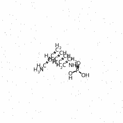 C=C.C=C.C=C.C=C.C=C.N.N.O=[PH](O)O